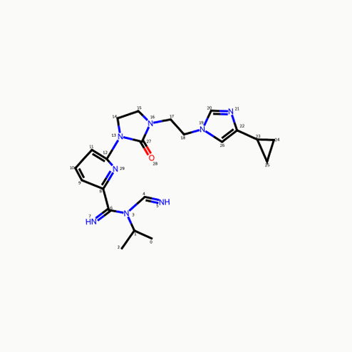 CC(C)N(C=N)C(=N)c1cccc(N2CCN(CCn3cnc(C4CC4)c3)C2=O)n1